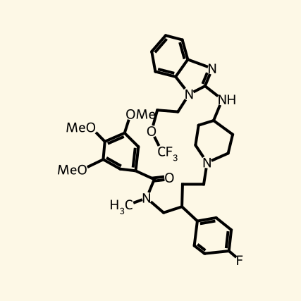 COc1cc(C(=O)N(C)CC(CCN2CCC(Nc3nc4ccccc4n3CCOC(F)(F)F)CC2)c2ccc(F)cc2)cc(OC)c1OC